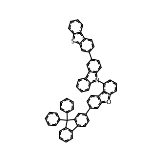 c1ccc(C2(c3ccccc3)c3ccccc3-c3ccc(-c4ccc5c(c4)oc4cccc(-n6c7ccccc7c7cc(-c8ccc9c(c8)sc8ccccc89)ccc76)c45)cc32)cc1